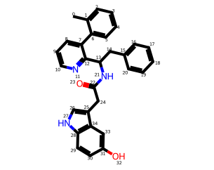 Cc1ccccc1-c1cccnc1C(Cc1ccccc1)NC(=O)Cc1c[nH]c2ccc(O)cc12